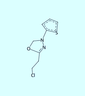 ClCCC1=NN(c2cccs2)CO1